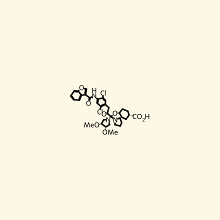 CO[C@H]1CN(C(O[C@H]2CC[C@H](C(=O)O)CC2)(C(=O)Cc2cc(Cl)c(NC(=O)c3coc4ccccc34)cc2Cl)N2CCCC2)C[C@H]1OC